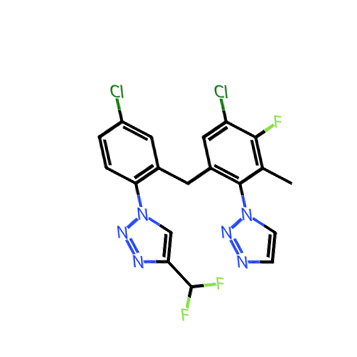 Cc1c(F)c(Cl)cc(Cc2cc(Cl)ccc2-n2cc(C(F)F)nn2)c1-n1ccnn1